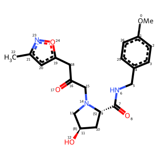 COc1ccc(CNC(=O)[C@@H]2C[C@@H](O)CN2CC(=O)Cc2cc(C)no2)cc1